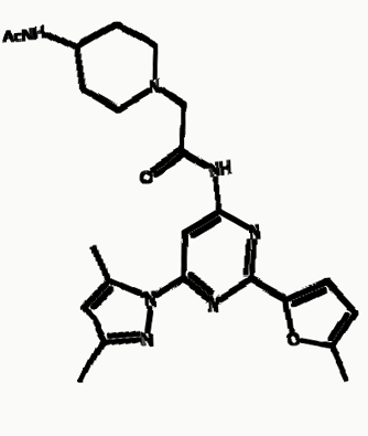 CC(=O)NC1CCN(CC(=O)Nc2cc(-n3nc(C)cc3C)nc(-c3ccc(C)o3)n2)CC1